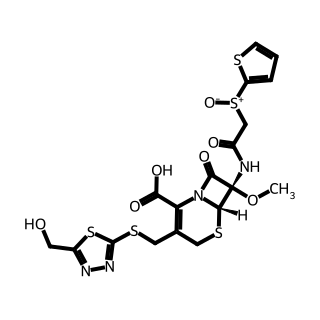 CO[C@@]1(NC(=O)C[S+]([O-])c2cccs2)C(=O)N2C(C(=O)O)=C(CSc3nnc(CO)s3)CS[C@H]21